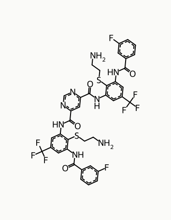 NCCSc1c(NC(=O)c2cccc(F)c2)cc(C(F)(F)F)cc1NC(=O)c1cc(C(=O)Nc2cc(C(F)(F)F)cc(NC(=O)c3cccc(F)c3)c2SCCN)ncn1